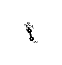 CSc1ccc(C#Cc2ccc(C(C)NC(=O)OC(C)(C)C)cc2)cc1